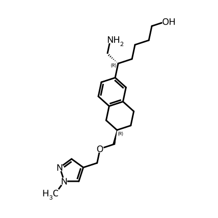 Cn1cc(COC[C@@H]2CCc3cc([C@H](CN)CCCCO)ccc3C2)cn1